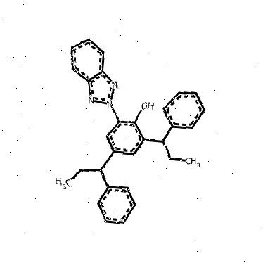 CCC(c1ccccc1)c1cc(C(CC)c2ccccc2)c(O)c(-n2nc3ccccc3n2)c1